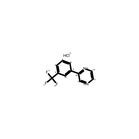 Cl.FC(F)(F)c1cccc(-c2cnccn2)c1